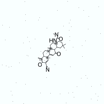 C[C@@H]1C(=O)C(C#N)=C[C@]2(C)C3=CC(=O)C4C5CC(C)(C)CC[C@]5(NC(=O)N(C)C)CC[C@@]4(C)[C@]3(C)CCC12